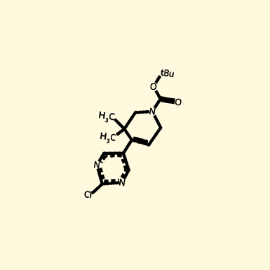 CC(C)(C)OC(=O)N1CC=C(c2cnc(Cl)nc2)C(C)(C)C1